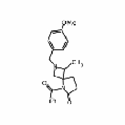 COc1ccc(CN2CC3(CCC(=O)N3C(=O)C(C)C)C2C)cc1